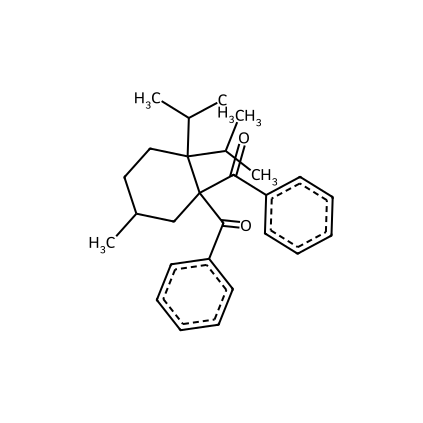 CC1CCC(C(C)C)(C(C)C)C(C(=O)c2ccccc2)(C(=O)c2ccccc2)C1